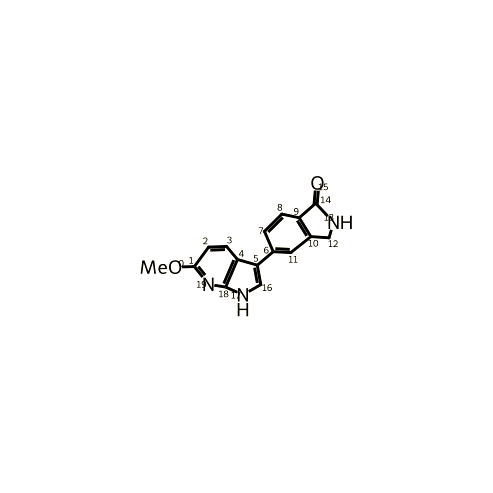 COc1ccc2c(-c3ccc4c(c3)CNC4=O)c[nH]c2n1